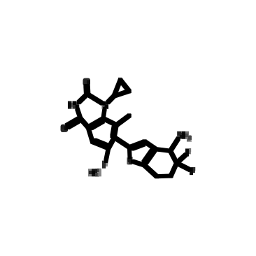 Cc1c(-c2cc3c(s2)CCC(F)(F)C3N)c(F)cc2c(=O)[nH]c(=O)n(C3CC3)c12.Cl